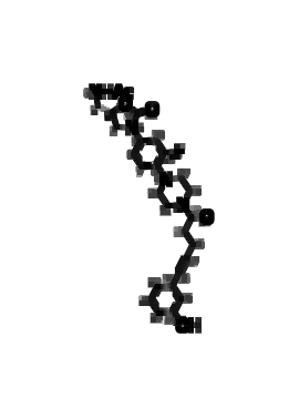 CC(=O)NC[C@H]1CN(c2ccc(N3CCN(C(=O)CCC#Cc4cccc(O)c4)CC3)c(F)c2)C(=O)O1